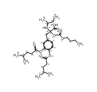 CCCCOC(=O)O[C@](Cc1ccc(OC(=O)CCC(C)C)c(OC(=O)CCC(C)C)c1)(NC(C)CC)C(=O)O